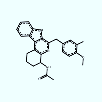 COc1ccc(Cc2nc3c(c4c2[nH]c2ccccc24)CCCC3NC(C)=O)cc1F